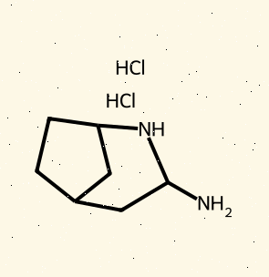 Cl.Cl.NC1CC2CCC(C2)N1